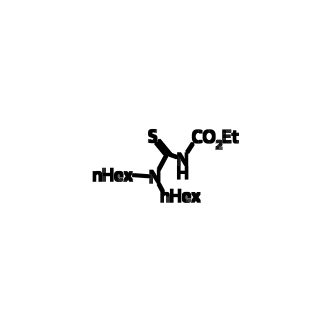 CCCCCCN(CCCCCC)C(=S)NC(=O)OCC